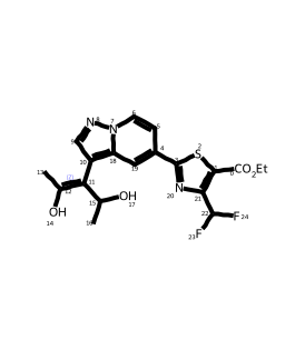 CCOC(=O)c1sc(-c2ccn3ncc(/C(=C(\C)O)C(C)O)c3c2)nc1C(F)F